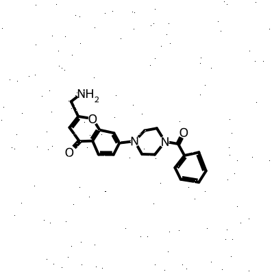 NCc1cc(=O)c2ccc(N3CCN(C(=O)c4ccccc4)CC3)cc2o1